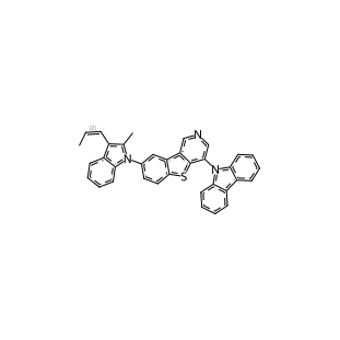 C/C=C\c1c(C)n(-c2ccc3sc4c(-n5c6ccccc6c6ccccc65)cncc4c3c2)c2ccccc12